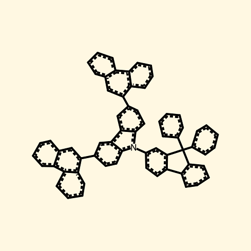 c1ccc(C2(c3ccccc3)c3ccccc3-c3ccc(-n4c5ccc(-c6cc7ccccc7c7ccccc67)cc5c5cc(-c6cc7ccccc7c7ccccc67)ccc54)cc32)cc1